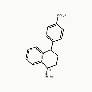 CC(=O)N[C@@H]1CCC(c2ccc(C(=O)O)cc2)c2ccccc21